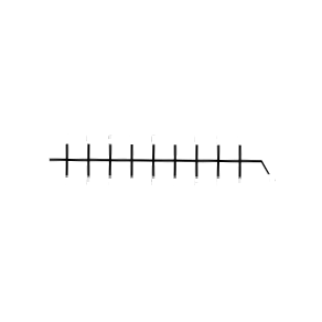 [O]CC(F)(F)C(F)(F)C(F)(F)C(F)(F)C(F)(F)C(F)(F)C(F)(F)C(F)(F)C(F)(F)F